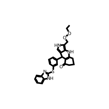 CCOOCc1[nH]cc2c1NC1=C(C(=O)CCC1)C2c1cccc(Sc2nc3ccccc3[nH]2)c1